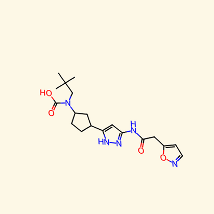 CC(C)(C)CN(C(=O)O)C1CCC(c2cc(NC(=O)Cc3ccno3)n[nH]2)C1